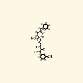 N#CC[N+]1(CCCNC(=O)N(Br)c2cccc(C#N)c2)CCC(Cc2ccccc2)CC1